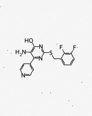 Nc1c(O)nc(SCc2cccc(F)c2F)nc1-c1ccncc1